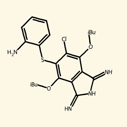 CCC(C)Oc1c(Cl)c(Sc2ccccc2N)c(OC(C)CC)c2c1C(=N)NC2=N